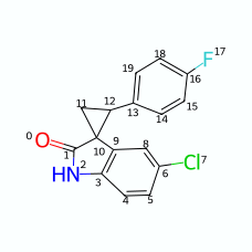 O=C1Nc2ccc(Cl)cc2C12CC2c1ccc(F)cc1